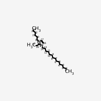 CCCCCCCCCCCCCCCN1C=CN(CCCCCC)C1CC